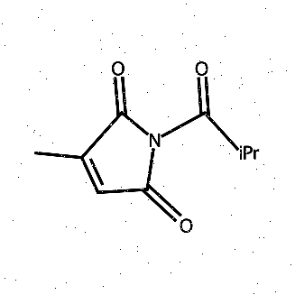 CC1=CC(=O)N(C(=O)C(C)C)C1=O